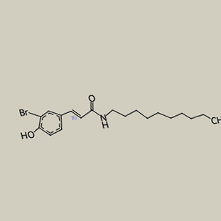 CCCCCCCCCCNC(=O)/C=C/c1ccc(O)c(Br)c1